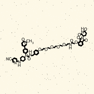 Cn1cc(-c2ccc(N(C(=O)NCc3ccc(OCCOCCOCCOCCOCCNC(=O)COc4cccc5c4C(=O)N(C4CCC(=O)NC4=O)C5=O)cc3)[C@H]3CC[C@H](Nc4ccc(C#N)cn4)CC3)cc2)ccc1=O